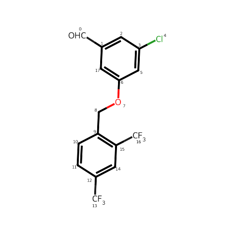 O=Cc1cc(Cl)cc(OCc2ccc(C(F)(F)F)cc2C(F)(F)F)c1